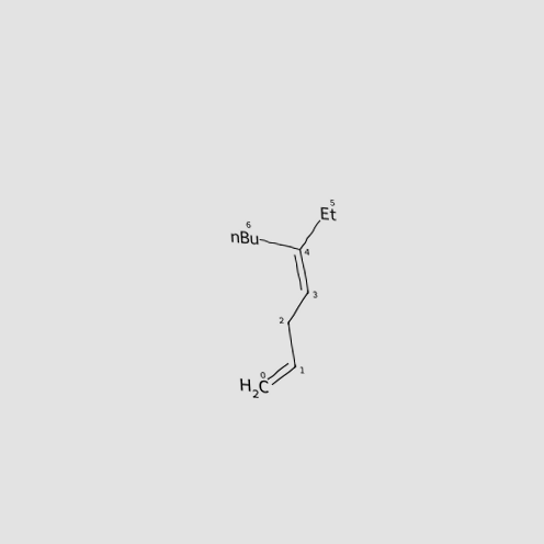 C=CCC=C(CC)CCCC